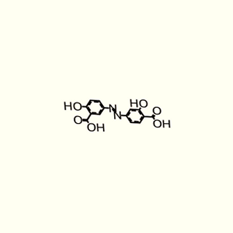 O=C(O)c1ccc(N=Nc2ccc(O)c(C(=O)O)c2)cc1O